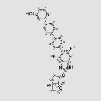 Oc1ccnc(-c2ccc(-c3ccc(-c4c(F)cc5[nH]c(OC6CO[C@@H]7CCO[C@H]67)nc5c4F)cc3)cc2)n1